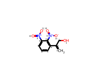 C=C(CO)c1cccc([N+](=O)[O-])c1[N+](=O)[O-]